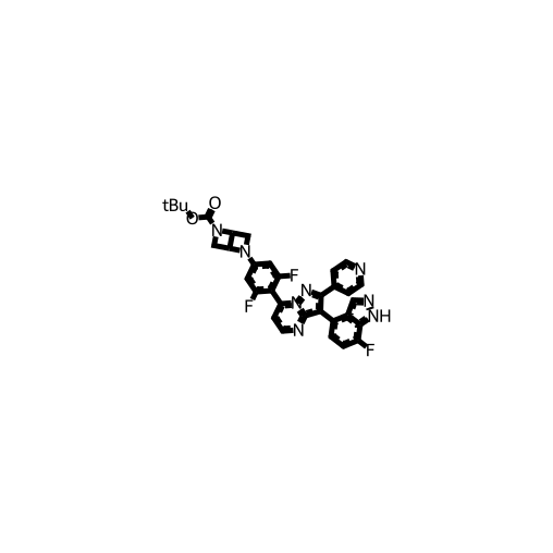 CC(C)(C)OC(=O)N1CC2C1CN2c1cc(F)c(-c2ccnc3c(-c4ccc(F)c5[nH]ncc45)c(-c4ccncc4)nn23)c(F)c1